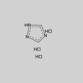 Cl.Cl.Cl.c1nc[nH]n1